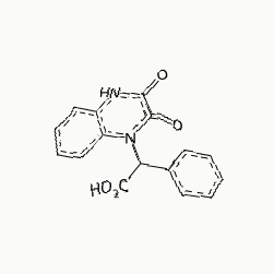 O=C(O)C(c1ccccc1)n1c(=O)c(=O)[nH]c2ccccc21